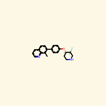 Cc1c(-c2ccc(O[C@H]3CCNC[C@@H]3F)cc2)ccc2cccnc12